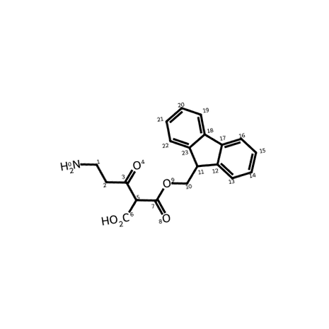 NCCC(=O)C(C(=O)O)C(=O)OCC1c2ccccc2-c2ccccc21